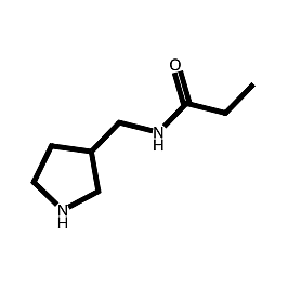 CCC(=O)NCC1CCNC1